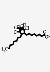 CCCCCCCCC1C(CCCCCCCC(=O)O)C2(Cl)C(Cl)=C(Cl)C1(Cl)C2(Cl)Cl